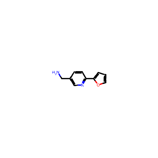 NCc1ccc(-c2ccco2)nc1